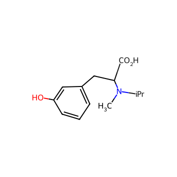 CC(C)N(C)C(Cc1cccc(O)c1)C(=O)O